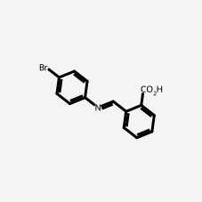 O=C(O)c1ccccc1C=Nc1ccc(Br)cc1